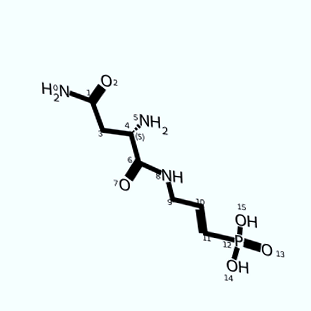 NC(=O)C[C@H](N)C(=O)NCC=CP(=O)(O)O